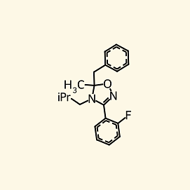 CC(C)CN1C(c2ccccc2F)=NOC1(C)Cc1ccccc1